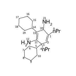 CCCC1=CC(CCC)(C2CCCCC2)C(N)=C(C2CCCCC2)C1N